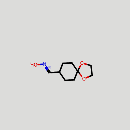 O/N=C/C1CCC2(CC1)OCCO2